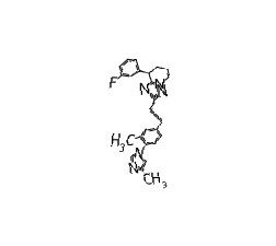 Cc1cn(-c2ccc(/C=C/c3nc4n(n3)CCC[C@@H]4c3cccc(F)c3)cc2C)cn1